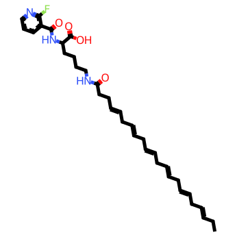 CCC=CCC=CCC=CCC=CCC=CCC=CCCC(=O)NCCCCC(NC(=O)c1cccnc1F)C(=O)O